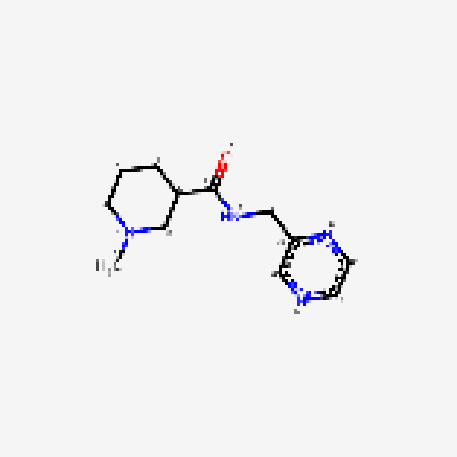 CN1CCC[C@@H](C(=O)NCc2cnccn2)C1